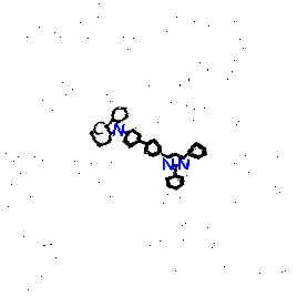 c1ccc(-c2cc(-c3ccc(-c4ccc(N5C6CCCCCC6C6CCCCC65)cc4)cc3)nc(-c3ccccc3)n2)cc1